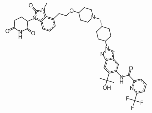 Cn1c(=O)n(C2CCC(=O)NC2=O)c2cccc(CCOC3CCN(C[C@H]4CC[C@H](n5cc6cc(NC(=O)c7cccc(C(F)(F)F)n7)c(C(C)(C)O)cc6n5)CC4)CC3)c21